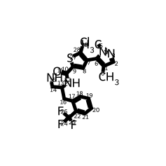 Cc1cnn(C)c1-c1cc(C(=O)NC(CN)Cc2ccccc2C(F)(F)F)sc1Cl